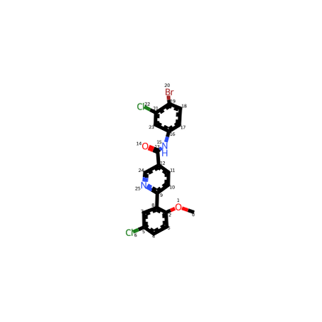 COc1ccc(Cl)cc1-c1ccc(C(=O)Nc2ccc(Br)c(Cl)c2)cn1